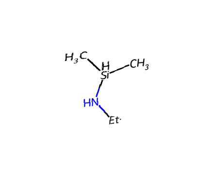 C[CH]N[SiH](C)C